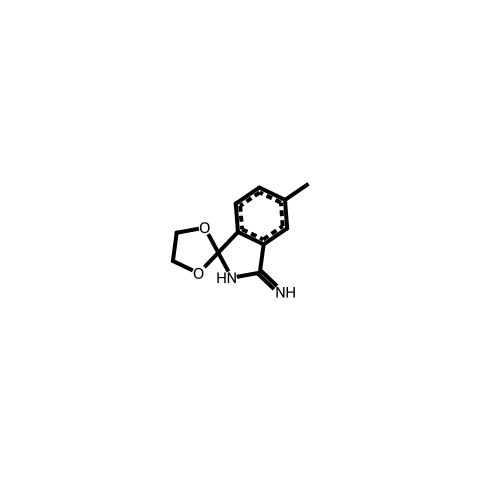 Cc1ccc2c(c1)C(=N)NC21OCCO1